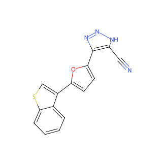 N#Cc1[nH]nnc1-c1ccc(-c2csc3ccccc23)o1